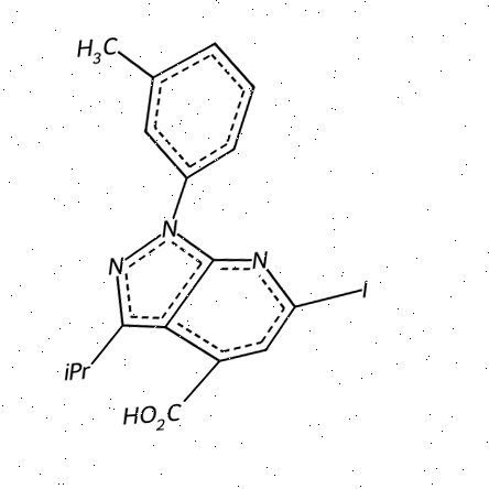 Cc1cccc(-n2nc(C(C)C)c3c(C(=O)O)cc(I)nc32)c1